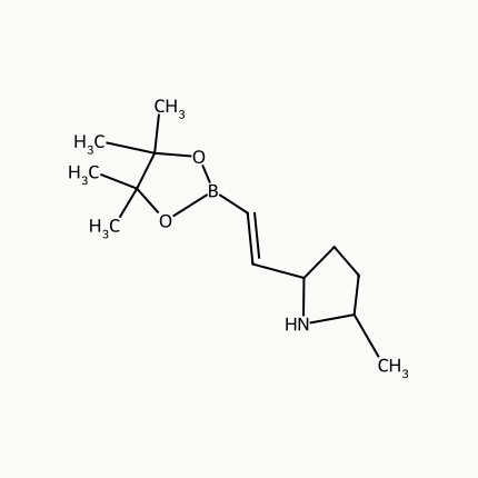 CC1CCC(/C=C/B2OC(C)(C)C(C)(C)O2)N1